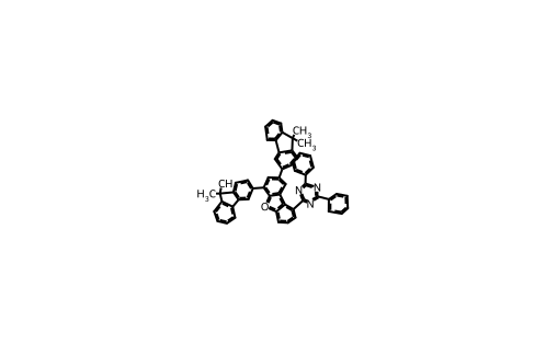 CC1(C)c2ccccc2-c2cc(-c3cc(-c4ccc5c(c4)-c4ccccc4C5(C)C)c4oc5cccc(-c6nc(-c7ccccc7)nc(-c7ccccc7)n6)c5c4c3)ccc21